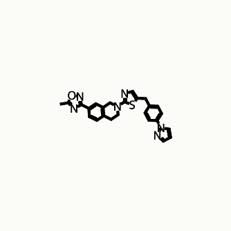 Cc1nc(-c2ccc3c(c2)CN(c2ncc(Cc4ccc(-n5cccn5)cc4)s2)CC3)no1